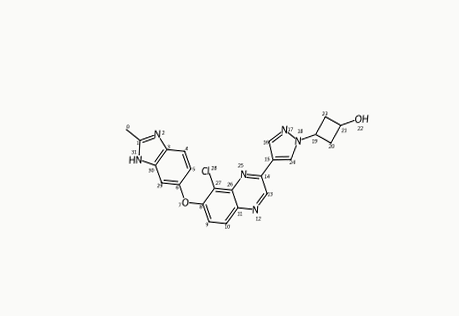 Cc1nc2ccc(Oc3ccc4ncc(-c5cnn(C6CC(O)C6)c5)nc4c3Cl)cc2[nH]1